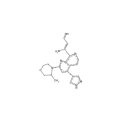 CC1COCCN1c1cc(-c2cn[nH]c2)c2ccnc(/C(N)=C/C=N)c2n1